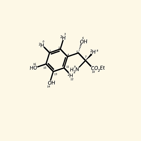 [2H]c1c([2H])c([C@H](O)[C@@]([2H])(N)C(=O)OCC)c([2H])c(O)c1O